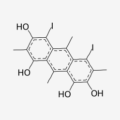 Cc1c(O)c(I)c2c(C)c3c(I)c(C)c(O)c(O)c3c(C)c2c1O